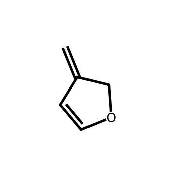 C=C1C=COC1